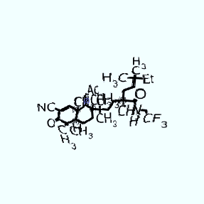 CCC(C)(C)CC[C@@](C)(CCC(C)(C)[C@]1(C)CC[C@H]2C(C)(C)C(=O)C(C#N)=C[C@]2(C)/C1=C/C(C)=O)C(=O)NCC(F)(F)F